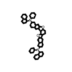 c1ccc(N(c2ccc3cc4c(cc3c2)oc2c4ccc3oc4cc5cc(N(c6ccccc6)c6cccc7ccccc67)ccc5cc4c32)c2cccc3ccccc23)cc1